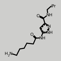 CC(C)CNC(=O)c1cc(NC(=O)CCCCCN)[nH]n1